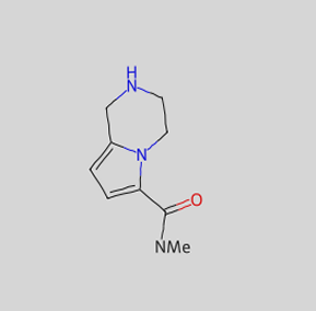 CNC(=O)c1ccc2n1CCNC2